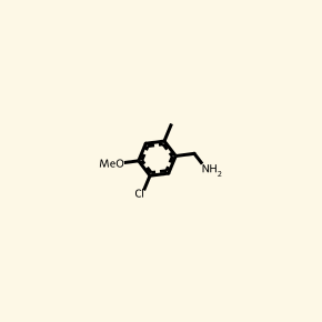 COc1cc(C)c(CN)cc1Cl